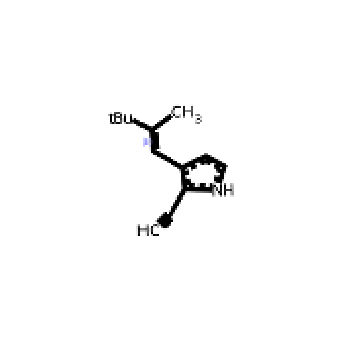 C#Cc1[nH]ccc1/C=C(\C)C(C)(C)C